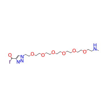 CNCCOCCOCCOCCOCCOCCOCCn1cc(C(=O)I)nn1